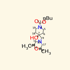 CCCCOC(=O)N1CCC(O)(CN2C[C@@H](C)O[C@@H](C)C2)CC1